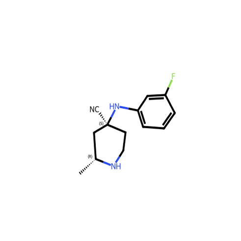 C[C@@H]1C[C@@](C#N)(Nc2cccc(F)c2)CCN1